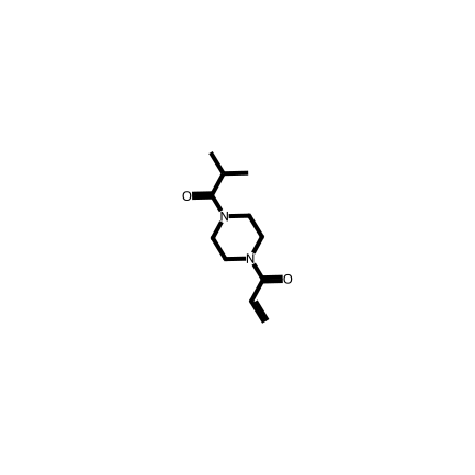 C=CC(=O)N1CCN(C(=O)C(C)C)CC1